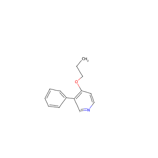 CCCOc1ccn[c]c1-c1ccccc1